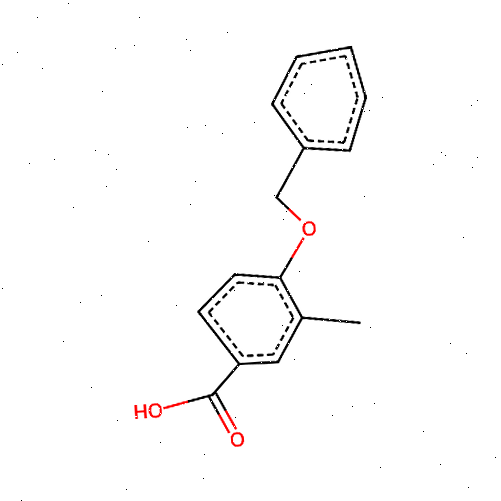 Cc1cc(C(=O)O)ccc1OCc1ccccc1